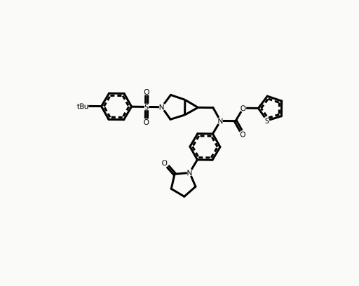 CC(C)(C)c1ccc(S(=O)(=O)N2CC3C(CN(C(=O)Oc4cccs4)c4ccc(N5CCCC5=O)cc4)C3C2)cc1